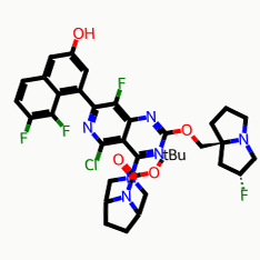 CC(C)(C)OC(=O)N1C2CCC1CN(c1nc(OC[C@@]34CCCN3C[C@H](F)C4)nc3c(F)c(-c4cc(O)cc5ccc(F)c(F)c45)nc(Cl)c13)C2